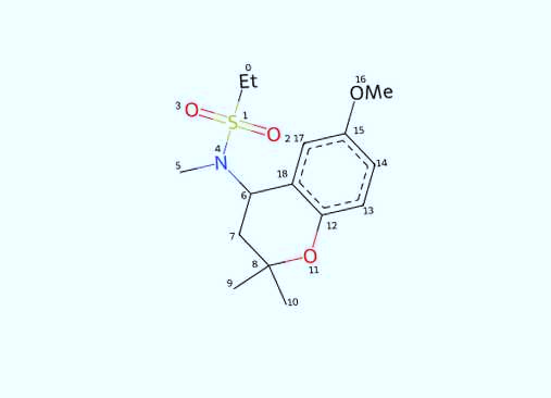 CCS(=O)(=O)N(C)C1CC(C)(C)Oc2ccc(OC)cc21